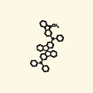 Cn1c2ccccc2c2ccc(N(c3ccccc3)c3ccc4c(c3)-c3ccccc3C43c4ccccc4-c4cc(N(c5ccccc5)c5ccccc5)ccc43)cc21